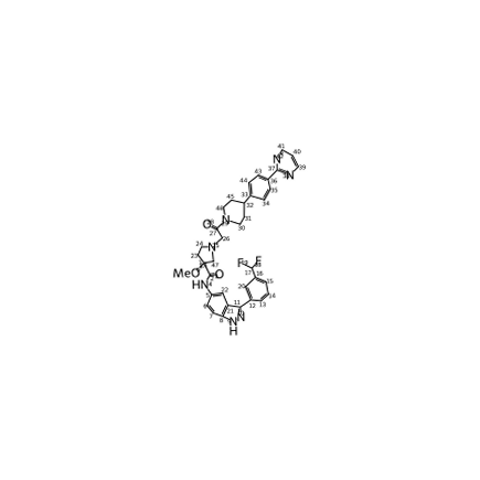 CO[C@@]1(C(=O)Nc2ccc3[nH]nc(-c4cccc(C(F)F)c4)c3c2)CCN(CC(=O)N2CCC(c3ccc(-c4ncccn4)cc3)CC2)C1